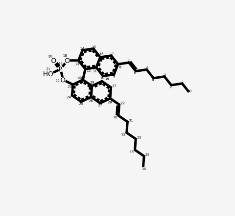 CCCCCCC=Cc1ccc2c3c(ccc2c1)OP(=O)(O)Oc1ccc2cc(C=CCCCCCC)ccc2c1-3